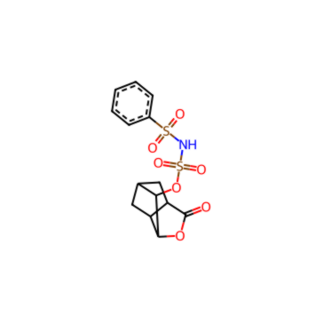 O=C1OC2C3CC(CC13)C2OS(=O)(=O)NS(=O)(=O)c1ccccc1